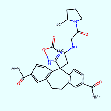 CNC(=O)c1ccc2c(c1)CCc1cc(C(=O)NC)ccc1C2(C[C@H](C)NCC(=O)N1CCCC1C#N)c1nc(=O)o[nH]1